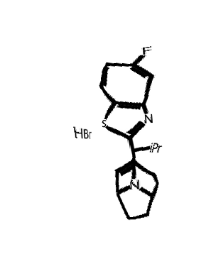 Br.CC(C)CN1C2C=C(c3nc4cc(F)ccc4s3)CC1CC2